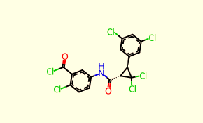 O=C(Cl)c1cc(NC(=O)[C@@H]2[C@@H](c3cc(Cl)cc(Cl)c3)C2(Cl)Cl)ccc1Cl